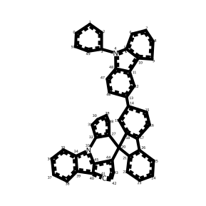 c1ccc(-n2c3ccccc3c3cc(-c4ccc5c(c4)C4(c6ccccc6-5)c5ccccc5-n5c6ccccc6c6cccc4c65)ccc32)cc1